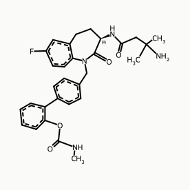 CNC(=O)Oc1ccccc1-c1ccc(CN2C(=O)[C@H](NC(=O)CC(C)(C)N)CCc3cc(F)ccc32)cc1